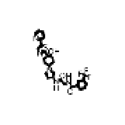 O=C(CNC(=O)c1cccc(C(F)(F)F)c1)NC1CCN(C2CCC(O)(c3ncc(-c4ccccn4)s3)CC2)C1